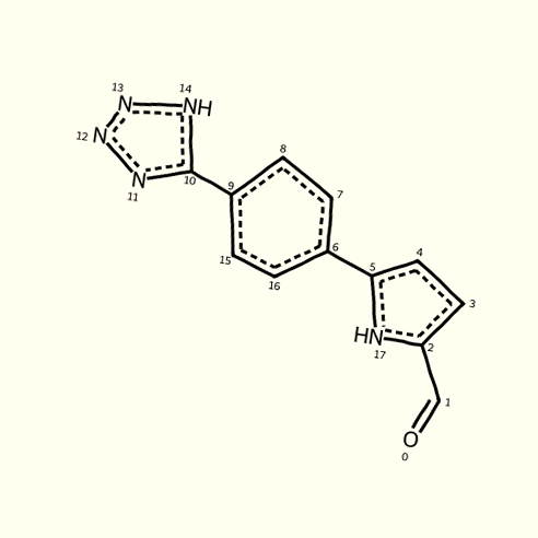 O=Cc1ccc(-c2ccc(-c3nnn[nH]3)cc2)[nH]1